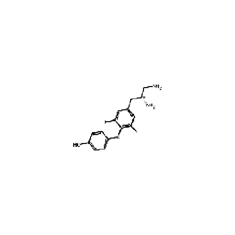 NC[C@H](N)Cc1cc(I)c(Oc2ccc(O)cc2)c(I)c1